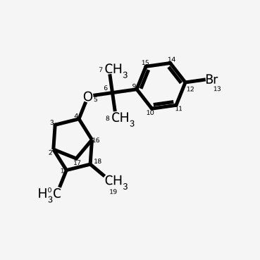 CC1C2CC(OC(C)(C)c3ccc(Br)cc3)C(C2)C1C